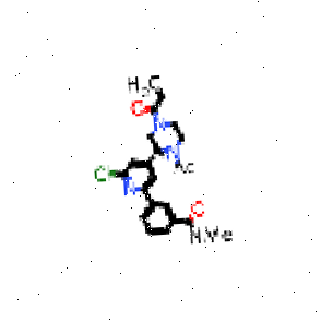 C=CC(=O)N1CCN(C(C)=O)[C@@H](c2cc(Cl)nc(-c3cccc(C(=O)NC)c3)c2)C1